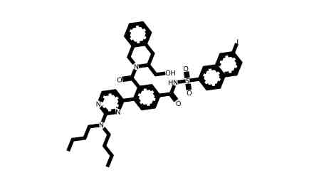 CCCCN(CCCC)c1nccc(-c2ccc(C(=O)NS(=O)(=O)c3ccc4ccc(I)cc4c3)cc2C(=O)N2Cc3ccccc3CC2CO)n1